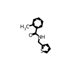 Cc1ccccc1C(=O)NCc1cccs1